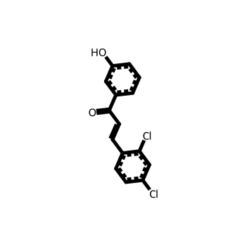 O=C(/C=C/c1ccc(Cl)cc1Cl)c1cccc(O)c1